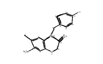 Cc1cc2c(cc1N)OCC(=O)N2Cc1ccc(F)cc1